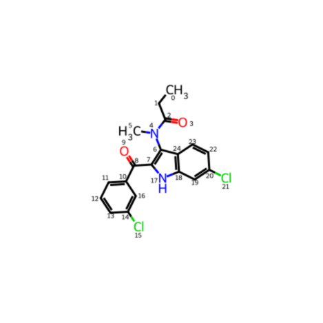 CCC(=O)N(C)c1c(C(=O)c2cccc(Cl)c2)[nH]c2cc(Cl)ccc12